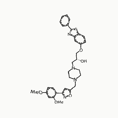 COc1ccc(-c2cc(CN3CCN(C[C@@H](O)COc4ccc5sc(-c6ccccc6)nc5c4)CC3)on2)c(OC)c1